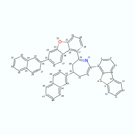 C1=C(c2cccc3c2sc2ccccc23)N=C(c2cccc3oc4cc(-c5ccc6ccccc6c5)ccc4c23)CC(c2ccc3ccccc3c2)C1